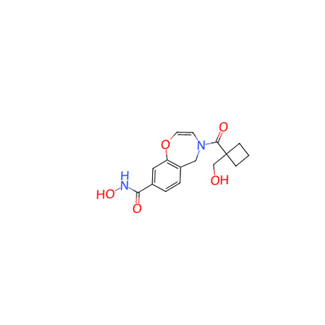 O=C(NO)c1ccc2c(c1)OC=CN(C(=O)C1(CO)CCC1)C2